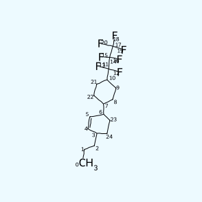 CCCC1C=CC(C2CCC(C(F)(F)C(F)(F)C(F)(F)F)CC2)CC1